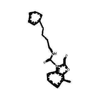 Cc1cccc2c1oc(=O)n2C(=O)NCCCCc1ccccc1